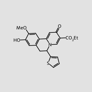 CCOC(=O)c1cn2c(cc1=O)-c1cc(OC)c(O)cc1CC2c1cccs1